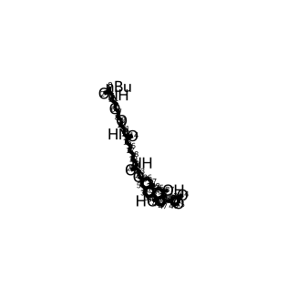 CCCCC(=O)NCCOCCOCCNC(=O)CCCCCNC(=O)COC1CCC2(C)C(CCC3C2CC(O)C2(C)C(C4=CC(=O)OC4)CCC32O)C1